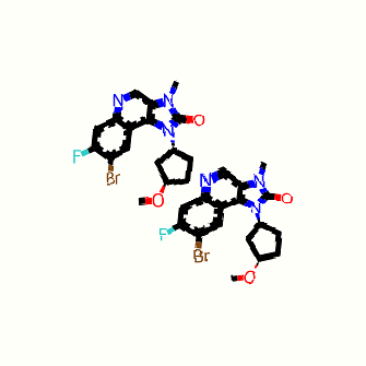 CO[C@@H]1CC[C@@H](n2c(=O)n(C)c3cnc4cc(F)c(Br)cc4c32)C1.CO[C@H]1CC[C@H](n2c(=O)n(C)c3cnc4cc(F)c(Br)cc4c32)C1